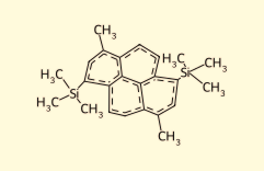 Cc1cc([Si](C)(C)C)c2ccc3c(C)cc([Si](C)(C)C)c4ccc1c2c34